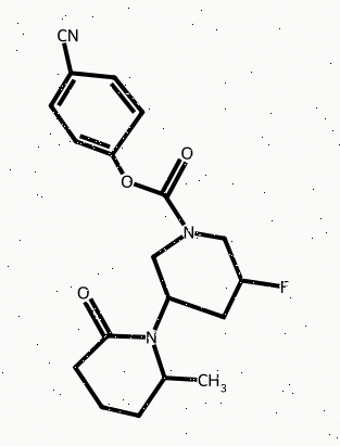 CC1CCCC(=O)N1C1CC(F)CN(C(=O)Oc2ccc(C#N)cc2)C1